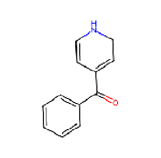 O=C(C1=CCNC=C1)c1ccccc1